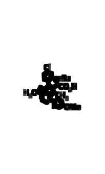 CCCCO[C@H](C(=O)O)c1c(C)c2c3c(cc(C)n3CCN2c2ncc(OC)cn2)c1-c1ccc(Cl)cc1